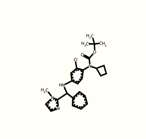 Cn1ccnc1C(Nc1ccc(N(C(=O)OC(C)(C)C)C2CCC2)c(Cl)c1)c1ccccc1